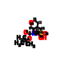 CC(C)(C)OC(=O)N[C@H]1COCC[C@H]1CS(=O)(=O)O